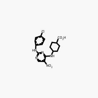 O=C(O)C1CCC(Nc2nc(Nc3ccc(Cl)cc3)ncc2[N+](=O)[O-])CC1